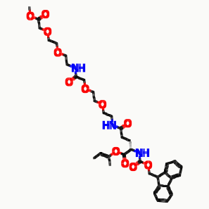 C/C=C(\C)OC(=O)[C@H](CCC(=O)NCCOCCOCC(=O)NCCOCCOCC(=O)OC)NC(=O)OCC1c2ccccc2-c2ccccc21